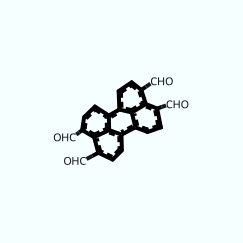 O=Cc1ccc2c3ccc(C=O)c4c(C=O)ccc(c5ccc(C=O)c1c25)c43